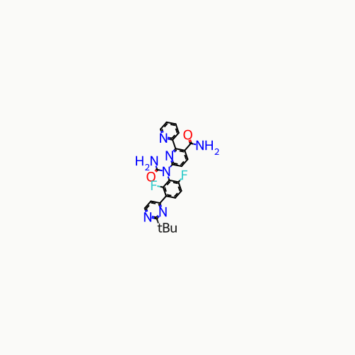 CC(C)(C)c1nccc(-c2ccc(F)c(N(C(N)=O)c3ccc(C(N)=O)c(-c4ccccn4)n3)c2F)n1